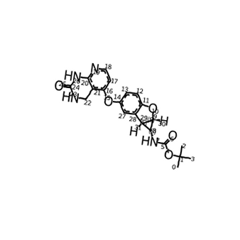 CC(C)(C)OC(=O)N[C@@H]1[C@H]2Oc3ccc(Oc4ccnc5c4CNC(=O)N5)cc3[C@@H]12